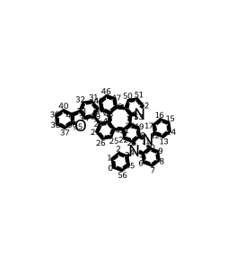 c1ccc(-n2c3ccccc3n(-c3ccccc3)c3cc4c(cc32)c2cccc(-c3cccc5c3oc3ccccc35)c2c2ccccc2c2cccnc24)cc1